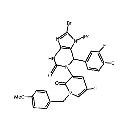 COc1ccc(Cn2cc(Cl)cc(N3C(=O)Nc4nc(Br)n(C(C)C)c4C3c3ccc(Cl)c(F)c3)c2=O)cc1